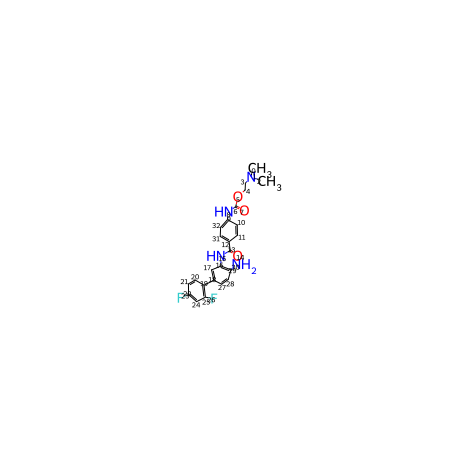 CN(C)CCOC(=O)Nc1ccc(C(=O)Nc2cc(-c3ccc(F)cc3F)ccc2N)cc1